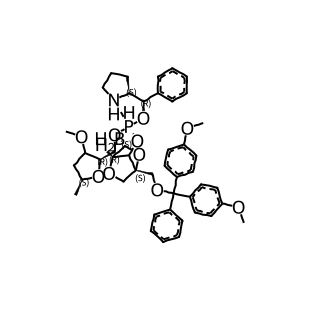 B[C@@H]1O[C@]2(COC(c3ccccc3)(c3ccc(OC)cc3)c3ccc(OC)cc3)CO[C@H]1C2O[PH](C)(OC[C@H]1O[C@@H](C)CC1OC)O[C@H](c1ccccc1)[C@@H]1CCCN1